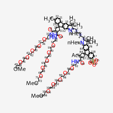 CCCCCCN1\C(=C/C=C/C=C/C2=[N+](CCCCCC)c3cc4c(cc3C2(C)C)-c2ccc(C)cc2C4(CCC(=O)NCCOCCOCCOCCOCCOCCOC)CCC(=O)NCCOCCOCCOCCOCCOCCOC)C(C)(C)c2cc3c(cc21)C(CCC(C)=O)(CCC(=O)NCCOCCOCCOCCOCCOCCOC)c1cc(S(=O)(=O)[O-])ccc1-3